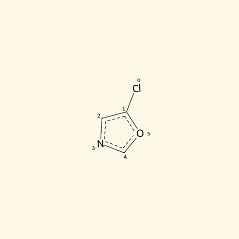 Clc1cnco1